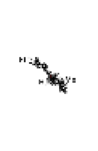 CCOC(=O)C(O)=CC(=O)c1cccc(CCCOCCN(c2cc3oc(-c4ccc(F)cc4)c(C(=O)NC)c3cc2C2CC2)S(C)(=O)=O)c1